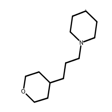 [CH]1CCN(CCCC2CCOCC2)CC1